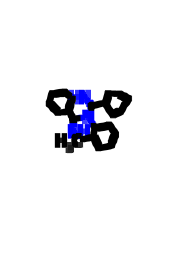 Cc1ccccc1N(C(=N)c1ccccc1)C(=N)c1ccccc1